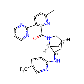 Cc1ccc(-c2ncccn2)c(C(=O)N2C[C@H]3C[C@@H](Nc4ccc(C(F)(F)F)cn4)[C@@H]2C3)n1